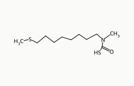 CSCCCCCCCCN(C)C(=O)S